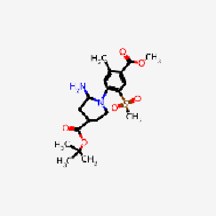 COC(=O)c1cc(S(C)(=O)=O)c(N2CCC(C(=O)OC(C)(C)C)CC2N)cc1C